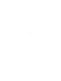 CC(O)CNC=Cc1ccccc1